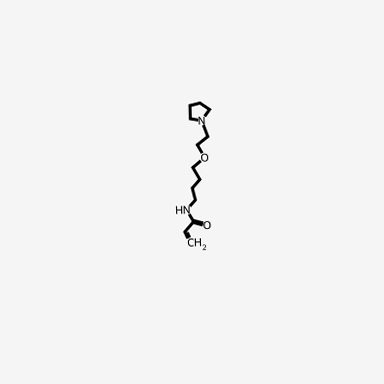 C=CC(=O)NCCCCOCCN1CCCC1